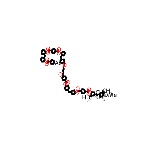 COc1ccc(C(C)(C)c2ccc(OC(=O)c3ccc(C(=O)Oc4ccc(Cc5ccc(OC(=O)c6ccc(C(=O)CCCCOc7ccc(Cc8ccccc8OC(=O)c8ccc(C(=O)Oc9ccccc9Cc9ccccc9OC(=O)c9ccc(C(C)=O)cc9)cc8)cc7)cc6)cc5)cc4)cc3)c(C)c2)cc1C